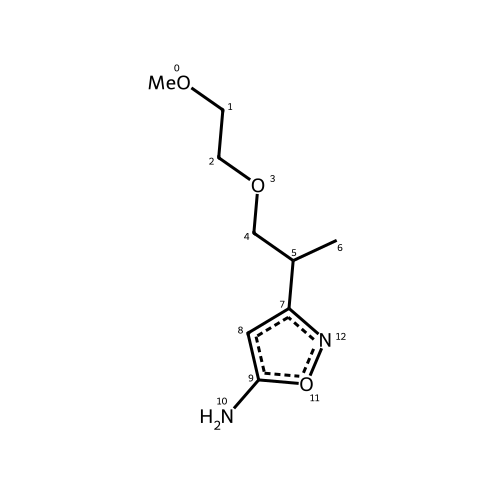 COCCOCC(C)c1cc(N)on1